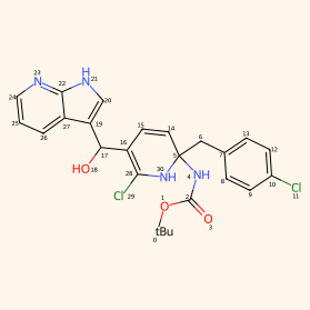 CC(C)(C)OC(=O)NC1(Cc2ccc(Cl)cc2)C=CC(C(O)c2c[nH]c3ncccc23)=C(Cl)N1